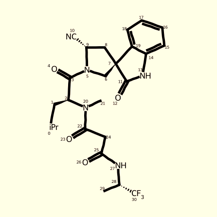 CC(C)C[C@@H](C(=O)N1C[C@]2(C[C@H]1C#N)C(=O)Nc1ccccc12)N(C)C(=O)CC(=O)N[C@@H](C)C(F)(F)F